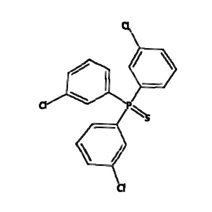 S=P(c1cccc(Cl)c1)(c1cccc(Cl)c1)c1cccc(Cl)c1